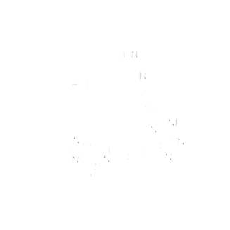 Cc1cc(-c2ncnc3[nH]c(-c4ccc(N5CCNCC5)cc4)nc23)ccc1C(C)NC(=O)c1nc(C(C)(C)C)no1.Cl